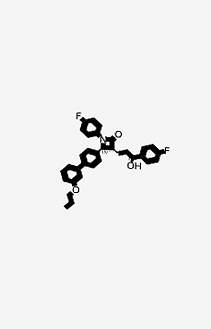 CCCOc1cccc(-c2ccc([C@@H]3[C@@H](CC[C@H](O)c4ccc(F)cc4)C(=O)N3c3ccc(F)cc3)cc2)c1